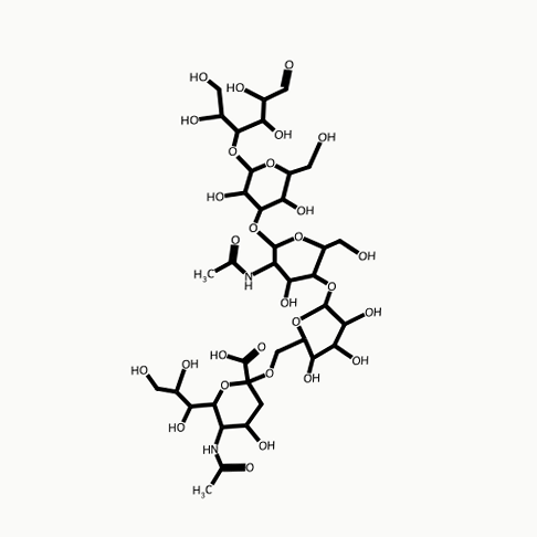 CC(=O)NC1C(OC2C(O)C(CO)OC(OC(C(O)CO)C(O)C(O)C=O)C2O)OC(CO)C(OC2OC(COC3(C(=O)O)CC(O)C(NC(C)=O)C(C(O)C(O)CO)O3)C(O)C(O)C2O)C1O